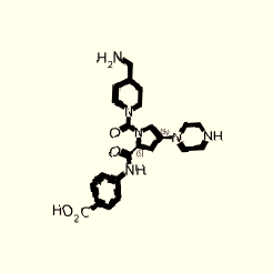 NCC1CCN(C(=O)N2C[C@@H](N3CCNCC3)C[C@H]2C(=O)Nc2ccc(C(=O)O)cc2)CC1